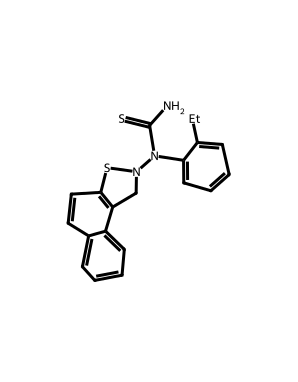 CCc1ccccc1N(C(N)=S)N1Cc2c(ccc3ccccc23)S1